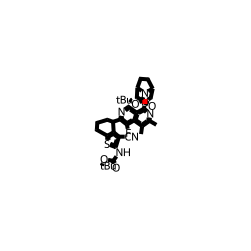 Cc1nc(N2CC3CCC(C2)N3C(=O)OC(C)(C)C)c2cnc(C3CCCc4sc(NC(=O)OC(C)(C)C)c(C#N)c43)c(F)c2c1C